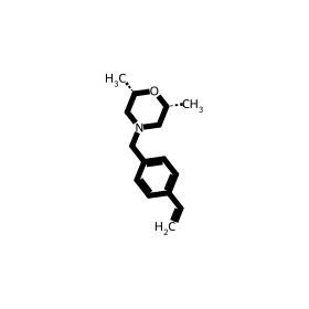 C=Cc1ccc(CN2C[C@@H](C)O[C@@H](C)C2)cc1